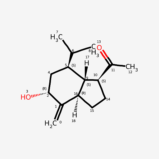 C=C1[C@H](O)C[C@@H](C(C)C)[C@@H]2[C@@H](C(C)=O)CC[C@@H]12